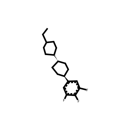 CCC1CCC([C@H]2CC[C@H](c3cc(F)c(F)c(F)c3)CC2)CC1